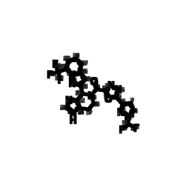 O=C(c1nnc(-c2ccn(C(F)F)n2)o1)N1CCc2[nH]cnc2C1c1cc2cccc(C(F)(F)F)n2n1